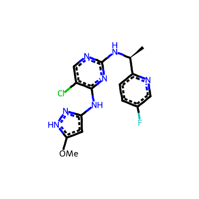 COc1cc(Nc2nc(N[C@@H](C)c3ccc(F)cn3)ncc2Cl)n[nH]1